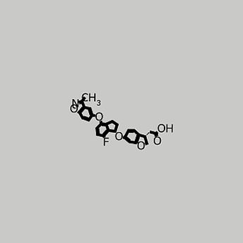 Cc1noc2ccc(Oc3ccc(F)c4c3CC[C@H]4Oc3ccc4c(c3)OC[C@H]4CC(=O)O)cc12